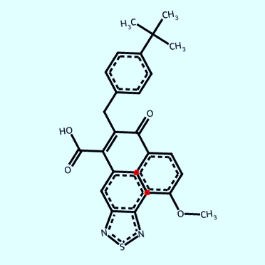 COc1ccc(C(=O)/C(Cc2ccc(C(C)(C)C)cc2)=C(/C(=O)O)c2ccc3nsnc3c2)cc1